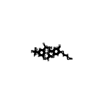 COCCOc1cc2nc(C)nc(N[C@H](C)c3cc(N)cc(C(F)(F)F)c3)c2cc1C